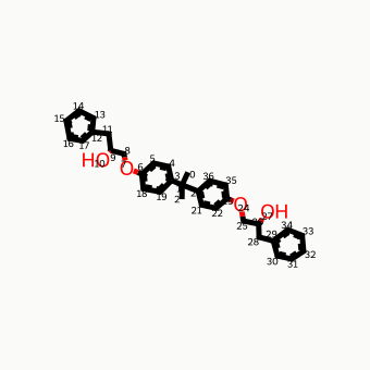 CC(C)(c1ccc(OCC(O)Cc2ccccc2)cc1)c1ccc(OCC(O)Cc2ccccc2)cc1